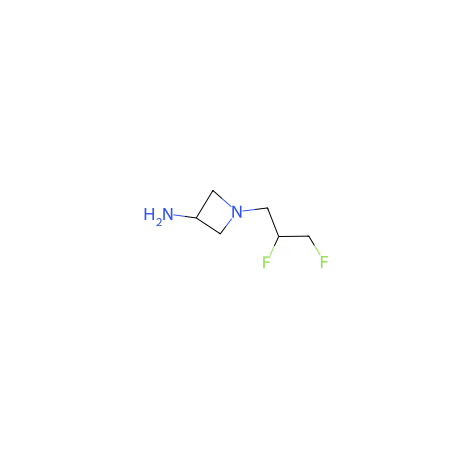 NC1CN(CC(F)CF)C1